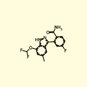 Cc1cc(OC(F)F)c2[nH]nc(-c3cc(F)ccc3C(N)=O)c2c1